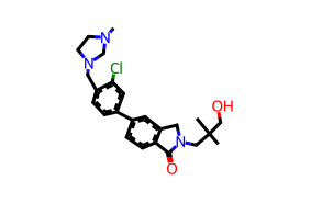 CN1CCN(Cc2ccc(-c3ccc4c(c3)CN(CC(C)(C)CO)C4=O)cc2Cl)C1